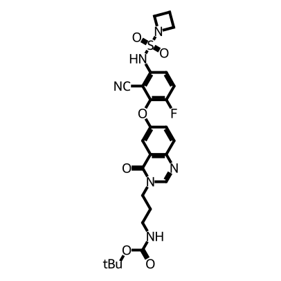 CC(C)(C)OC(=O)NCCCn1cnc2ccc(Oc3c(F)ccc(NS(=O)(=O)N4CCC4)c3C#N)cc2c1=O